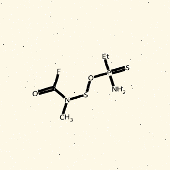 CCP(N)(=S)OSN(C)C(=O)F